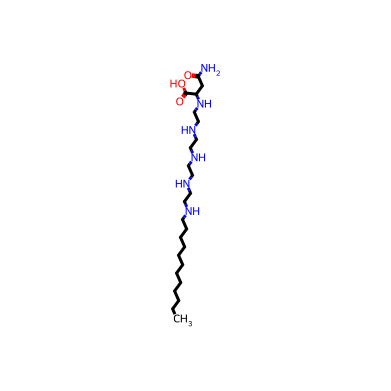 CCCCCCCCCCCCNCCNCCNCCNCCNC(CC(N)=O)C(=O)O